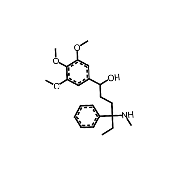 CCC(CCC(O)c1cc(OC)c(OC)c(OC)c1)(NC)c1ccccc1